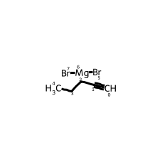 C#CCCC.[Br][Mg][Br]